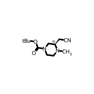 CN1CCN(C(=O)OC(C)(C)C)C[C@H]1CC#N